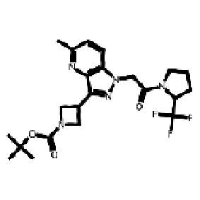 Cc1ccc2c(n1)c(C1CN(C(=O)OC(C)(C)C)C1)nn2CC(=O)N1CCC[C@H]1C(F)(F)F